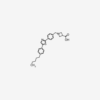 CCCCCc1ccc(-c2cnc(-c3ccc(CN4CC(C(=O)O)C4)cc3)s2)cc1